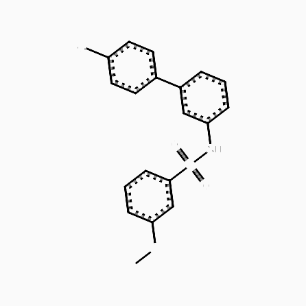 COc1cccc(S(=O)(=O)Nc2cccc(-c3ccc(Cl)cc3)c2)c1